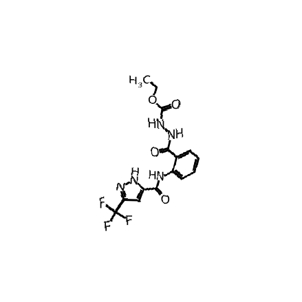 CCOC(=O)NNC(=O)c1ccccc1NC(=O)c1cc(C(F)(F)F)n[nH]1